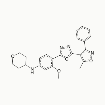 COc1cc(NC2CCOCC2)ccc1-c1nnc(-c2c(-c3ccccc3)noc2C)o1